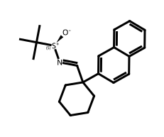 CC(C)(C)[S@@+]([O-])N=CC1(c2ccc3ccccc3c2)CCCCC1